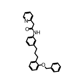 O=C(Cc1ccccn1)Nc1cccc(CCCc2ccccc2OCc2ccccc2)c1